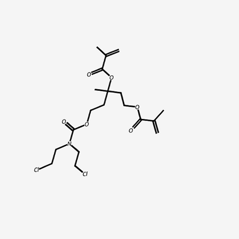 C=C(C)C(=O)OCCC(C)(CCOC(=O)N(CCCl)CCCl)OC(=O)C(=C)C